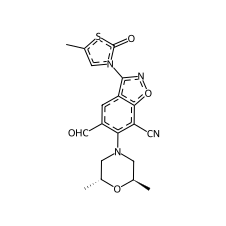 Cc1cn(-c2noc3c(C#N)c(N4C[C@@H](C)O[C@H](C)C4)c(C=O)cc23)c(=O)s1